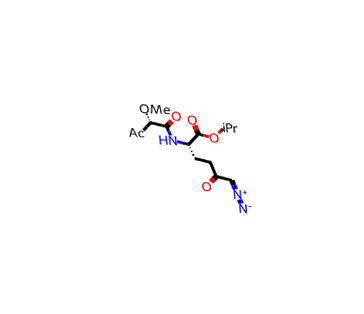 CO[C@@H](C(C)=O)C(=O)N[C@@H](CCC(=O)C=[N+]=[N-])C(=O)OC(C)C